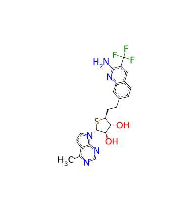 Cc1ncnc2c1ccn2[C@@H]1S[C@@H](CCc2ccc3cc(C(F)(F)F)c(N)nc3c2)[C@H](O)[C@H]1O